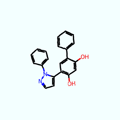 Oc1cc(O)c(-c2ccnn2-c2ccccc2)cc1-c1ccccc1